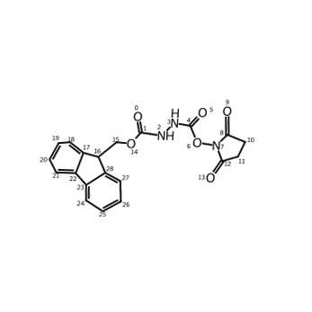 O=C(NNC(=O)ON1C(=O)CCC1=O)OCC1c2ccccc2-c2ccccc21